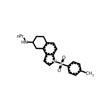 CCCNC1CCc2ccc3c(ccn3S(=O)(=O)c3ccc(C)cc3)c2C1